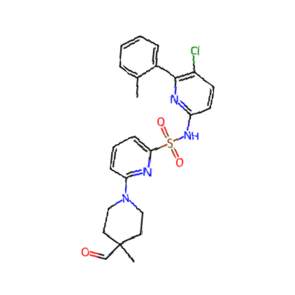 Cc1ccccc1-c1nc(NS(=O)(=O)c2cccc(N3CCC(C)(C=O)CC3)n2)ccc1Cl